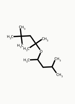 CC(C)CC(C)OC(C)(C)CC(C)(C)C